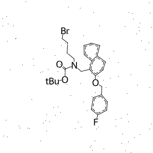 CC(C)(C)OC(=O)N(CCCCBr)Cc1c(OCc2ccc(F)cc2)ccc2ccccc12